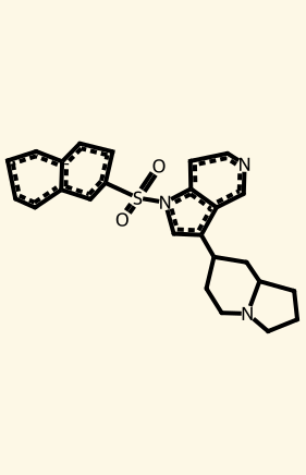 O=S(=O)(c1ccc2ccccc2c1)n1cc(C2CCN3CCCC3C2)c2cnccc21